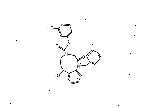 Cc1cccc(NC(=O)N2CCC(O)c3ccccc3N(Cc3ccccc3)C(=O)C2)c1